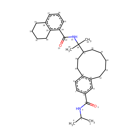 CC(C)NC(=O)c1ccc2c(c1)CCCCCC(C(C)(C)NC(=O)c1cccc3c1CCCC3)CC2